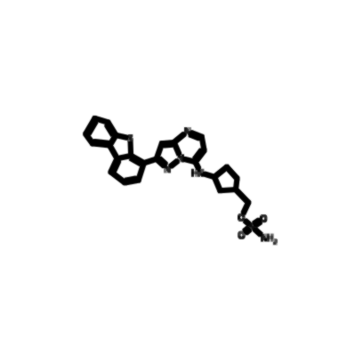 NS(=O)(=O)OCC1CCC(Nc2ccnc3cc(-c4cccc5c4sc4ccccc45)nn23)C1